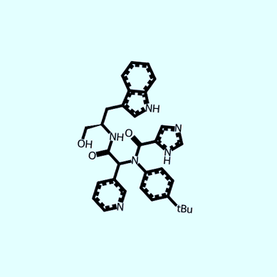 CC(C)(C)c1ccc(N(C(=O)c2cnc[nH]2)C(C(=O)N[C@@H](CO)Cc2c[nH]c3ccccc23)c2cccnc2)cc1